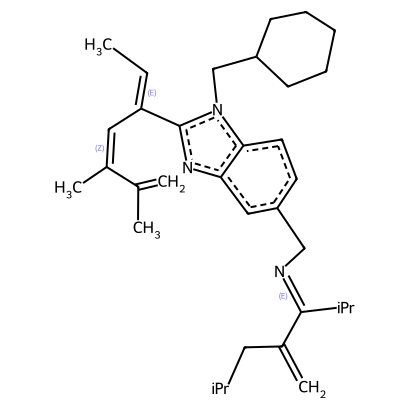 C=C(C)/C(C)=C\C(=C/C)c1nc2cc(C/N=C(/C(=C)CC(C)C)C(C)C)ccc2n1CC1CCCCC1